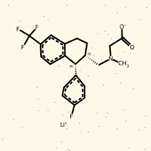 CN(CC(=O)[O-])C[C@H]1CCc2cc(C(F)(F)F)ccc2[C@H]1c1ccc(F)cc1.[Li+]